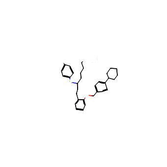 O=C(O)CCCCC(CCc1ccccc1OCc1ccc(C2CCCCC2)cc1)Nc1ccc(C(=O)O)cc1